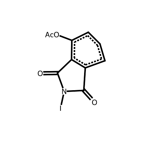 CC(=O)Oc1cccc2c1C(=O)N(I)C2=O